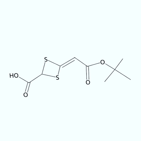 CC(C)(C)OC(=O)C=C1SC(C(=O)O)S1